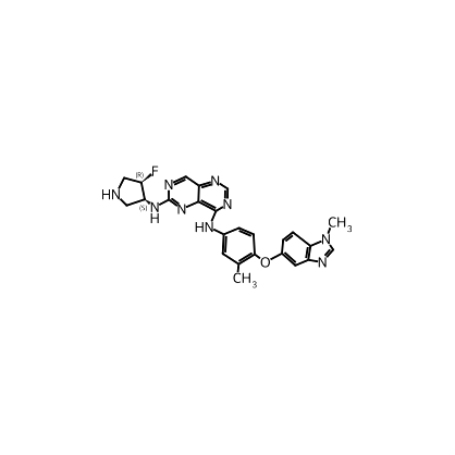 Cc1cc(Nc2ncnc3cnc(N[C@H]4CNC[C@H]4F)nc23)ccc1Oc1ccc2c(c1)ncn2C